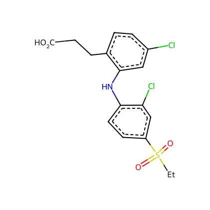 CCS(=O)(=O)c1ccc(Nc2cc(Cl)ccc2CCC(=O)O)c(Cl)c1